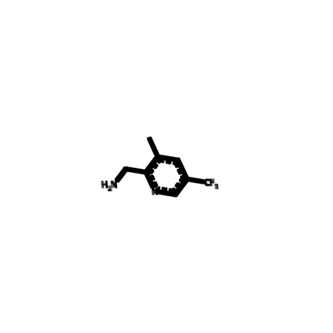 Cc1cc(C(F)(F)F)cnc1CN